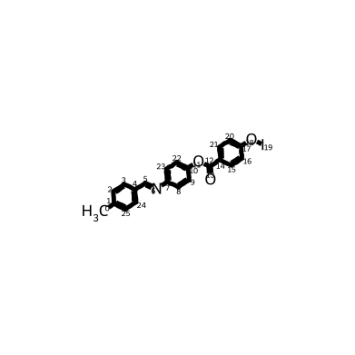 Cc1ccc(/C=N/c2ccc(OC(=O)c3ccc(OI)cc3)cc2)cc1